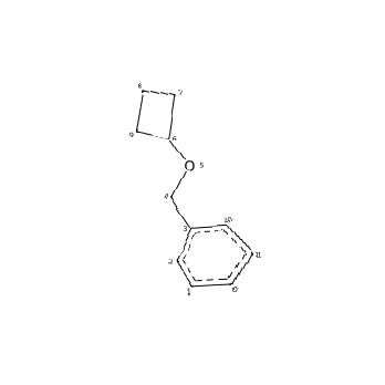 c1ccc(CO[C]2CCC2)cc1